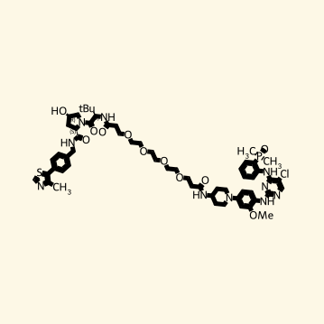 COc1cc(N2CCC(NC(=O)CCOCCOCCOCCOCCC(=O)N[C@H](C(=O)N3C[C@H](O)C[C@H]3C(=O)NCc3ccc(-c4scnc4C)cc3)C(C)(C)C)CC2)ccc1Nc1ncc(Cl)c(Nc2ccccc2P(C)(C)=O)n1